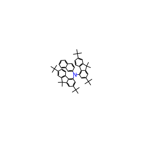 CC(C)(C)c1ccc2c(c1)C(C)(C)c1cc(C(C)(C)C)cc(N(c3ccc4ccccc4c3)c3cc(C(C)(C)C)cc4c3-c3ccc(C(C)(C)C)cc3C4(C)C)c1-2